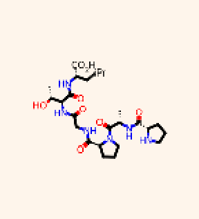 CC(C)C[C@H](NC(=O)[C@@H](NC(=O)CNC(=O)[C@@H]1CCCN1C(=O)[C@H](C)NC(=O)[C@@H]1CCCN1)[C@@H](C)O)C(=O)O